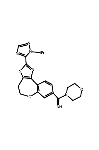 CC(C)n1ncnc1-c1nc2c(s1)CCOc1cc(C(=N)N3CCOCC3)ccc1-2